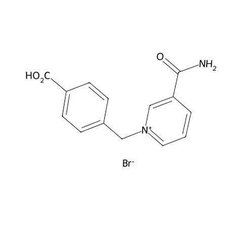 NC(=O)c1ccc[n+](Cc2ccc(C(=O)O)cc2)c1.[Br-]